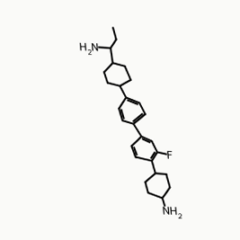 CCC(N)C1CCC(c2ccc(-c3ccc(C4CCC(N)CC4)c(F)c3)cc2)CC1